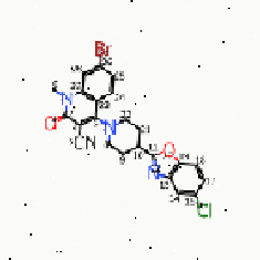 Cn1c(=O)c(C#N)c(N2CCC(c3nc4cc(Cl)ccc4o3)CC2)c2ccc(Br)cc21